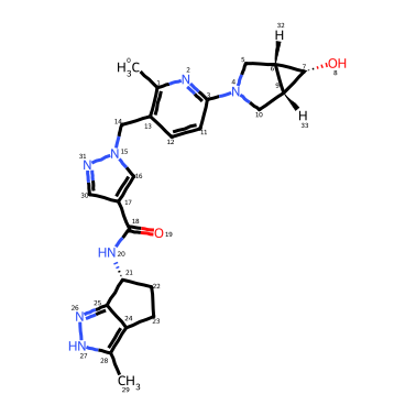 Cc1nc(N2C[C@@H]3[C@H](O)[C@@H]3C2)ccc1Cn1cc(C(=O)N[C@@H]2CCc3c2n[nH]c3C)cn1